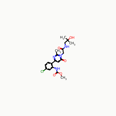 COC(=O)Nc1cc(Cl)ccc1-c1cc(=O)n(CC(=O)NCC(C)(C)O)c(C)n1